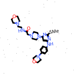 CSc1nc(Nc2ccc(N3CCOCC3)cc2)cc(N2CCN(CC(=O)NCCN3CCOCC3)CC2)n1